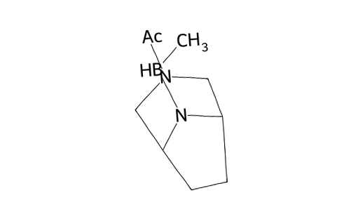 CBN1C2CCC1CN(C(C)=O)C2